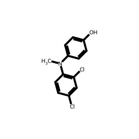 CN(c1ccc(O)cc1)c1ccc(Cl)cc1Cl